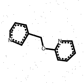 c1ccc(OCc2cccnc2)nc1